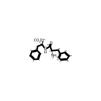 CCOC(=O)[C@H](Cc1ccccc1)NC(=O)[C@@H](N)Cc1ccccc1